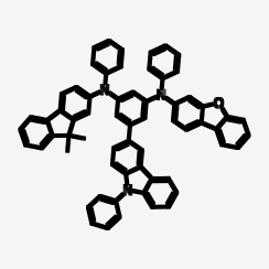 CC1(C)c2ccccc2-c2ccc(N(c3ccccc3)c3cc(-c4ccc5c(c4)c4ccccc4n5-c4ccccc4)cc(N(c4ccccc4)c4ccc5c(c4)oc4ccccc45)c3)cc21